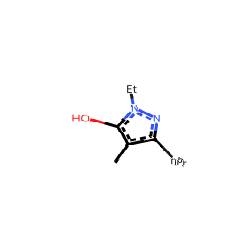 CCCc1nn(CC)c(O)c1C